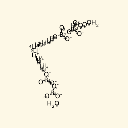 O.O.O.O.[Li+].[Li+].[Li+].[Li+].[Li+].[Li+].[Li+].[Li+].[Li+].[Li+].[Li+].[Li+].[O-]B([O-])[O-].[O-]B([O-])[O-].[O-]B([O-])[O-].[O-]B([O-])[O-]